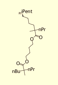 CCCCC(C)(CCC)C(=O)OCCCCOC(=O)C(C)(CCC)CCCC[C@H](C)CCC